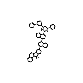 CC1(C)c2ccc(-c3ccc(-c4ccc(-c5nc(-c6ccccc6)cc(-c6cccc(-c7ccccc7)c6)n5)c5ccccc45)c4ccccc34)cc2-c2ccc3ccccc3c21